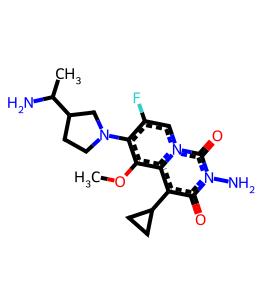 COc1c(N2CCC(C(C)N)C2)c(F)cn2c(=O)n(N)c(=O)c(C3CC3)c12